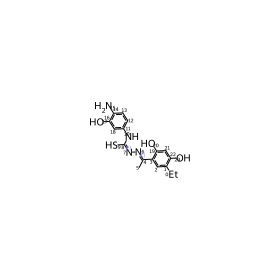 CCc1cc(/C(C)=N/N=C(/S)Nc2ccc(N)c(O)c2)c(O)cc1O